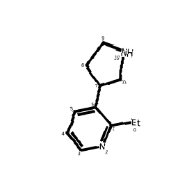 CCc1ncccc1C1CCNC1